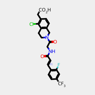 O=C(O)Cc1ccc2c(c1Cl)CCN(C(=O)CNC(=O)/C=C/c1ccc(C(F)(F)F)cc1F)C2